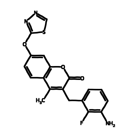 Cc1c(Cc2cccc(N)c2F)c(=O)oc2cc(Oc3nncs3)ccc12